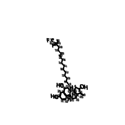 C=C1[C@H](O)C[C@H]2[C@@H]3[C@H](CCCCCCCCCSCCCC(F)(F)C(F)(F)F)[C@H](O)c4cc(O)ccc4[C@H]3CC[C@]12C